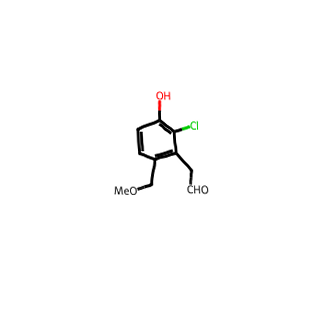 COCc1ccc(O)c(Cl)c1CC=O